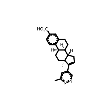 Cc1cc(C2=CC[C@H]3[C@@H]4CCc5cc(C(=O)O)ccc5[C@H]4CC[C@]23C)cnn1